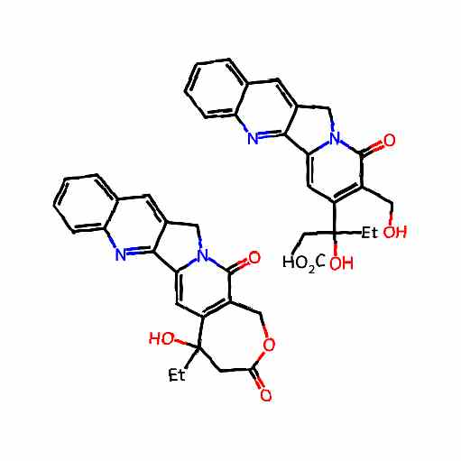 CCC(O)(CC(=O)O)c1cc2n(c(=O)c1CO)Cc1cc3ccccc3nc1-2.CCC1(O)CC(=O)OCc2c1cc1n(c2=O)Cc2cc3ccccc3nc2-1